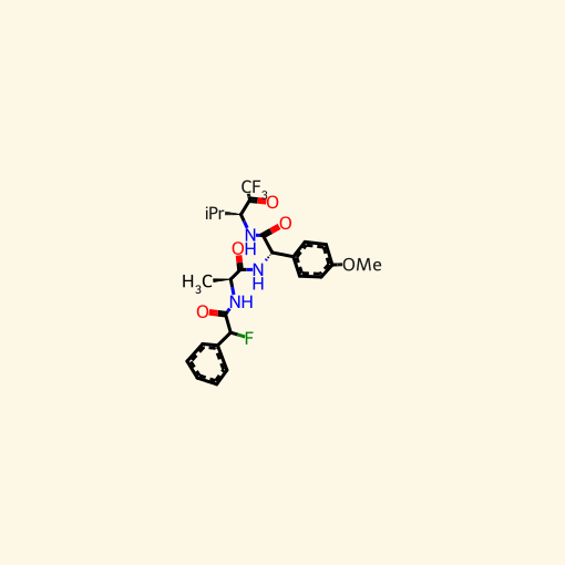 COc1ccc([C@H](NC(=O)[C@H](C)NC(=O)C(F)c2ccccc2)C(=O)N[C@H](C(=O)C(F)(F)F)C(C)C)cc1